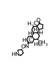 CC1C[C@@H]2[C@@H](CC[C@]3(C)C(=O)CC[C@@H]23)[C@@]2(C)CCC(=NO[C@@H]3CCNC3)CC12.Cl